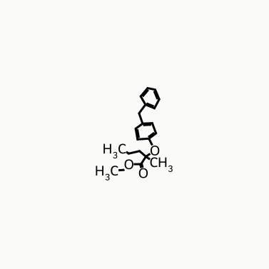 CCCC(C)(Oc1ccc(Cc2ccccc2)cc1)C(=O)OCC